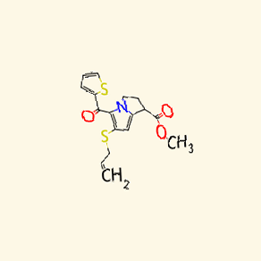 C=CCSc1cc2n(c1C(=O)c1cccs1)CCC2C(=O)OC